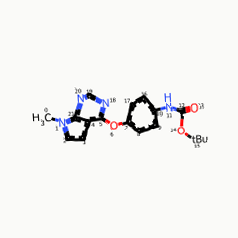 Cn1ccc2c(Oc3ccc(NC(=O)OC(C)(C)C)cc3)ncnc21